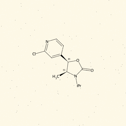 CC(C)N1C(=O)O[C@H](c2ccnc(Cl)c2)[C@@H]1C